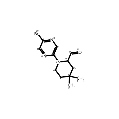 CC1(C)CCN(c2cnc(Br)cn2)C(C=O)C1